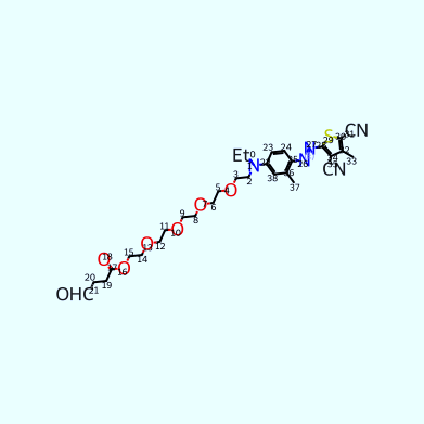 CCN(CCOCCOCCOCCOCCOC(=O)CCC=O)c1ccc(/N=N/c2sc(C#N)c(C)c2C#N)c(C)c1